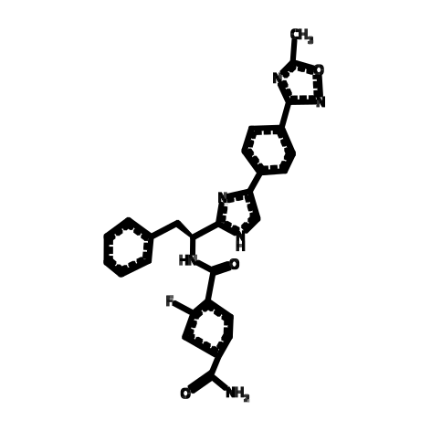 Cc1nc(-c2ccc(-c3c[nH]c([C@H](Cc4ccccc4)NC(=O)c4ccc(C(N)=O)cc4F)n3)cc2)no1